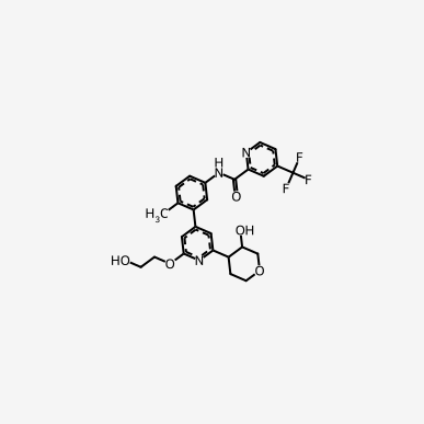 Cc1ccc(NC(=O)c2cc(C(F)(F)F)ccn2)cc1-c1cc(OCCO)nc(C2CCOCC2O)c1